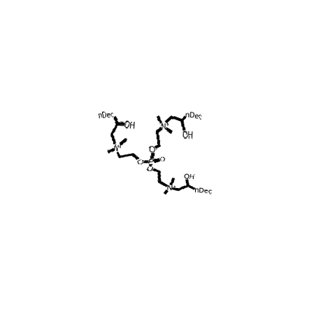 CCCCCCCCCCC(O)C[N+](C)(C)CCOP(=O)(OCC[N+](C)(C)CC(O)CCCCCCCCCC)OCC[N+](C)(C)CC(O)CCCCCCCCCC